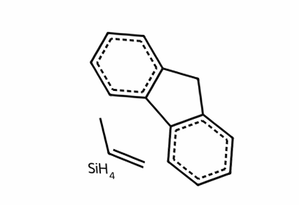 C=CC.[SiH4].c1ccc2c(c1)Cc1ccccc1-2